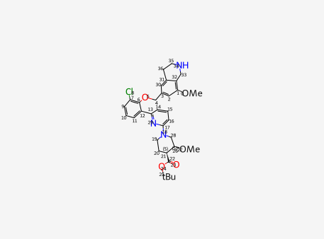 COc1cc(COc2c(Cl)cccc2-c2cccc(N3CC[C@H](C(=O)OC(C)(C)C)[C@H](OC)C3)n2)cc2c1CNCC2